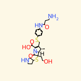 C[C@@H]1C(CSc2ccc(NC(=O)CCN)cc2)=C(C(=O)O)N2C(=O)C(CCO)(SC3CCNC3)[C@H]12